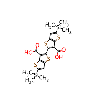 C[Si](C)(C)c1cc2sc(-c3sc4cc([Si](C)(C)C)sc4c3C(=O)O)c(C(=O)O)c2s1